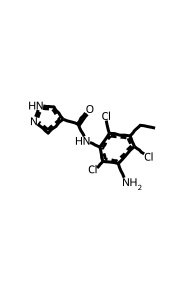 CCc1c(Cl)c(N)c(Cl)c(NC(=O)c2cn[nH]c2)c1Cl